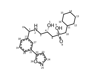 CC(NC[C@H](O)CP(=O)(O)CC1CCCCC1)c1cccc(-c2ccno2)c1